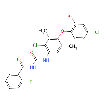 Cc1cc(NC(=O)NC(=O)c2ccccc2F)c(Cl)c(C)c1Oc1ccc(Cl)cc1Br